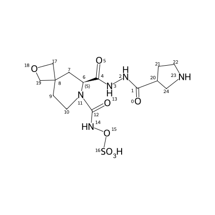 O=C(NNC(=O)[C@@H]1CC2(CCN1C(=O)NOS(=O)(=O)O)COC2)C1CCNC1